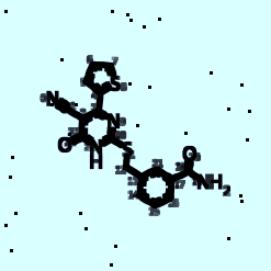 N#Cc1c(-c2cccs2)nc(SCc2cccc(C(N)=O)c2)[nH]c1=O